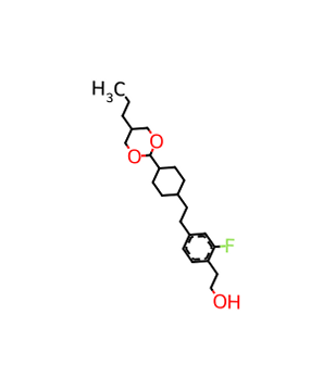 CCCC1COC(C2CCC(CCc3ccc(CCO)c(F)c3)CC2)OC1